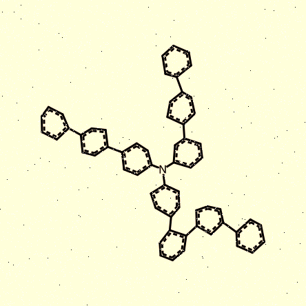 c1ccc(-c2ccc(-c3ccc(N(c4ccc(-c5ccccc5-c5cccc(-c6ccccc6)c5)cc4)c4cccc(-c5ccc(-c6ccccc6)cc5)c4)cc3)cc2)cc1